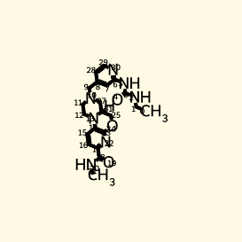 CCNC(=O)Nc1cc(CN2CCN3c4ccc(C(=O)NC)nc4OC[C@H]3C2)ccn1